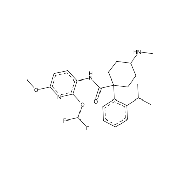 CNC1CCC(C(=O)Nc2ccc(OC)nc2OC(F)F)(c2ccccc2C(C)C)CC1